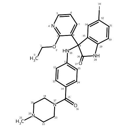 CCOc1ncccc1C1(Nc2ccc(C(=O)N3CCN(C)CC3)cc2)C(=O)Nc2ccc(I)cc21